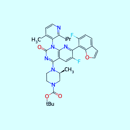 Cc1ccnc(C(C)C)c1-n1c(=O)nc(N2CCN(C(=O)OC(C)(C)C)C[C@@H]2C)c2cc(F)c(-c3c(F)ccc4ccoc34)nc21